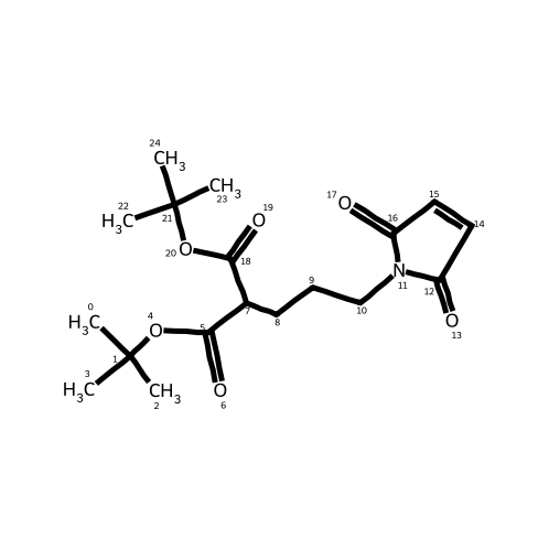 CC(C)(C)OC(=O)C(CCCN1C(=O)C=CC1=O)C(=O)OC(C)(C)C